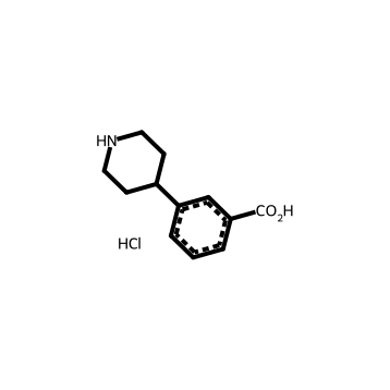 Cl.O=C(O)c1cccc(C2CCNCC2)c1